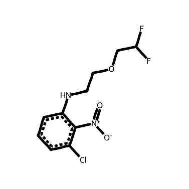 O=[N+]([O-])c1c(Cl)cccc1NCCOCC(F)F